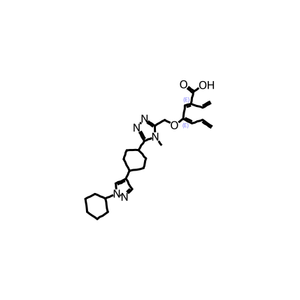 C=C/C=C(\C=C(/C=C)C(=O)O)OCc1nnc(C2CCC(c3cnn(C4CCCCC4)c3)CC2)n1C